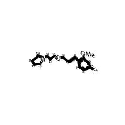 COc1cc(F)ccc1C=CCOCCCN1CCCC1